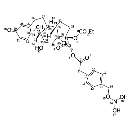 CCOC(=O)O[C@]1(C(=O)COC(=O)Cc2ccc(CON(O)O)cc2)CC[C@H]2[C@@H]3CCC4=CC(=O)C=C[C@]4(C)[C@H]3[C@@H](O)C[C@@]21C